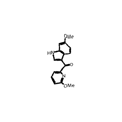 COc1ccc2c(C(=O)c3cccc(OC)n3)c[nH]c2c1